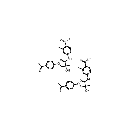 CC(=O)c1ccc(OCC(C)(O)C(=O)Nc2ccc([N+](=O)[O-])c(C)c2)cc1.CC(=O)c1ccc(OCC(C)(O)C(=O)Nc2ccc([N+](=O)[O-])c(C)c2)cc1